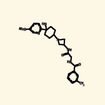 COc1ccc(C2(O)CCC(N3CC(NC(=O)CNC(=O)c4cccc(C(F)(F)F)c4)C3)CC2)nc1